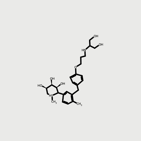 Cc1ccc(C2[C@H](O)[C@H](O)[C@H](O)C[SH]2C)cc1Cc1ccc(OCCCNC(CO)CO)cc1